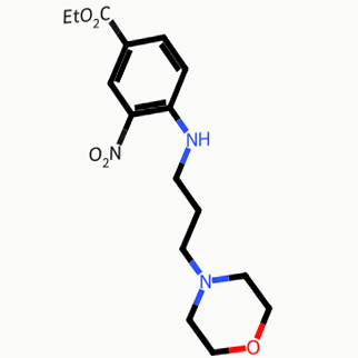 CCOC(=O)c1ccc(NCCCN2CCOCC2)c([N+](=O)[O-])c1